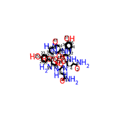 NC(=O)CC[C@H](NC(=O)[C@H](CCC(N)=O)NC(=O)[C@@H](N)Cc1ccc(O)cc1)C(=O)N[C@@H](Cc1ccc(O)cc1)C(=O)N[C@@H](CC(N)=O)C(=O)N1CCC[C@H]1C(=O)O